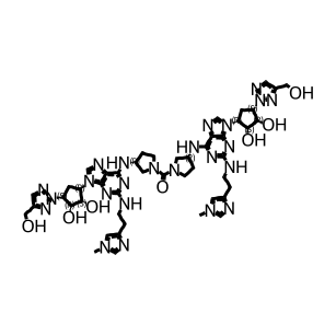 Cn1cnc(CCNc2nc(N[C@@H]3CCN(C(=O)N4CC[C@@H](Nc5nc(NCCc6cn(C)cn6)nc6c5ncn6[C@@H]5C[C@H](n6ncc(CO)n6)[C@@H](O)[C@H]5O)C4)C3)c3ncn([C@@H]4C[C@H](n5ncc(CO)n5)[C@@H](O)[C@H]4O)c3n2)c1